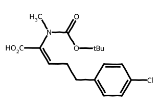 CN(C(=O)OC(C)(C)C)C(=CCCc1ccc(Cl)cc1)C(=O)O